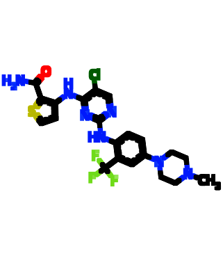 CN1CCN(c2ccc(Nc3ncc(Cl)c(Nc4ccsc4C(N)=O)n3)c(C(F)(F)F)c2)CC1